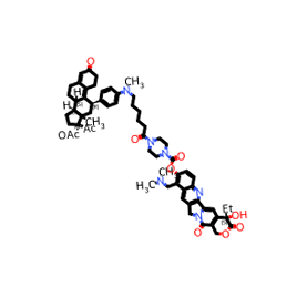 CC[C@@]1(O)C(=O)OCc2c1cc1n(c2=O)Cc2cc3c(CN(C)C)c(OC(=O)N4CCN(C(=O)CCCCCN(C)c5ccc([C@H]6C[C@@]7(C)[C@@H](CC[C@]7(OC(C)=O)C(C)=O)[C@@H]7CCC8=CC(=O)CCC8=C76)cc5)CC4)ccc3nc2-1